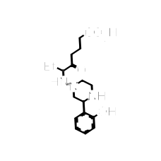 CCC(NN1CCNC(c2ccccc2O)C1)C(=O)CCCC(=O)O